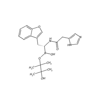 CC(C)(O)C(C)(C)OB(O)[C@H](Cc1coc2ccccc12)NC(=O)Cc1cnc[nH]1